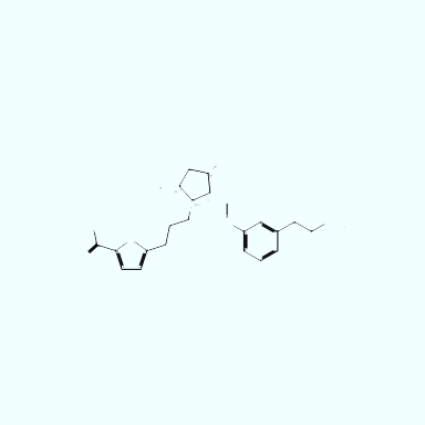 CCCc1cccc(OC[C@@H]2[C@@H](CCCc3ccc(C(=O)O)s3)[C@H](Cl)C[C@H]2O)c1